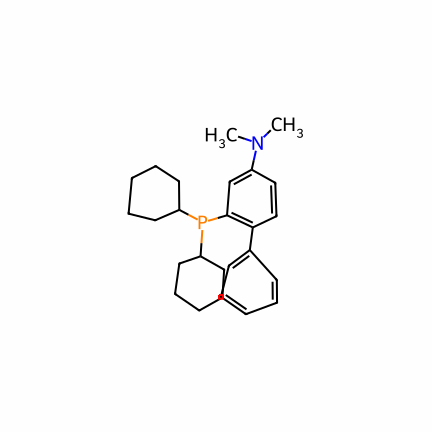 CN(C)c1ccc(-c2ccccc2)c(P(C2CCCCC2)C2CCCCC2)c1